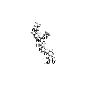 COc1cc2nccc(Oc3ccc(NC(=O)c4nn(CC(C)NC(=O)OC(C)(C)C)cc4OCC(F)(F)F)nc3)c2cc1OC